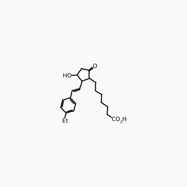 CCc1ccc(/C=C/C2C(O)CC(=O)C2CCCCCCC(=O)O)cc1